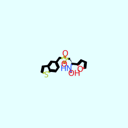 O=S(=O)(Cc1ccc2sccc2c1)C[C@@H](NO)c1ccco1